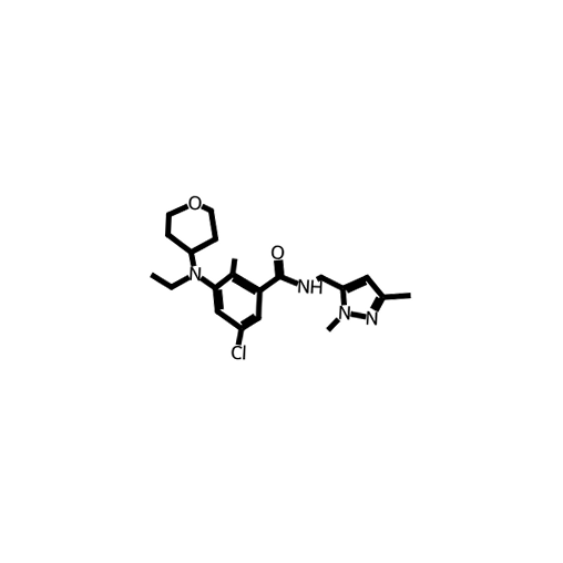 CCN(c1cc(Cl)cc(C(=O)NCc2cc(C)nn2C)c1C)C1CCOCC1